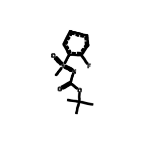 CC(C)(C)OC(=O)N=S(C)(=O)c1ccccc1F